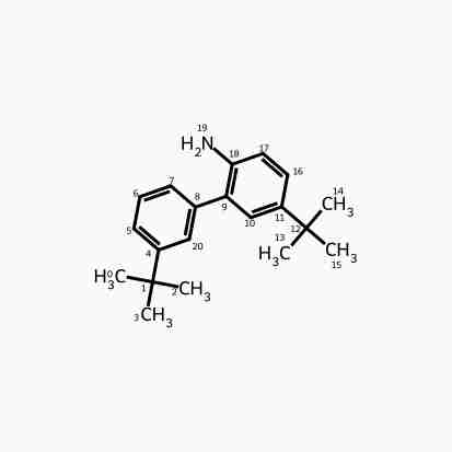 CC(C)(C)c1cccc(-c2cc(C(C)(C)C)ccc2N)c1